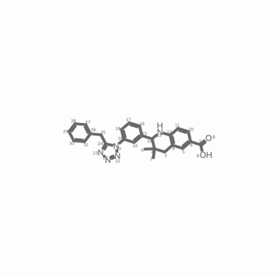 CC1(C)Cc2cc(C(=O)O)ccc2NC1c1cccc(-n2nnnc2Cc2ccccc2)c1